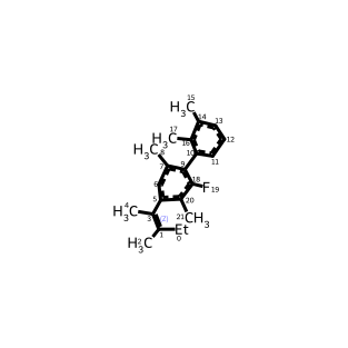 CC/C(C)=C(/C)c1cc(C)c(-c2cccc(C)c2C)c(F)c1C